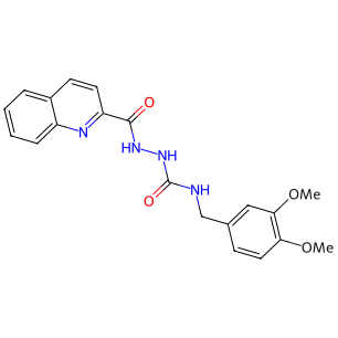 COc1ccc(CNC(=O)NNC(=O)c2ccc3ccccc3n2)cc1OC